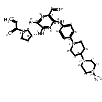 C=CC(=O)N1CC[C@@H](Nc2nc(Nc3ccc(N4CCC(N5CCN(C)CC5)CC4)cc3)c(C=O)nc2Br)C1